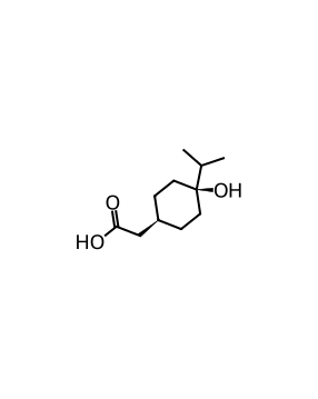 CC(C)[C@]1(O)CC[C@@H](CC(=O)O)CC1